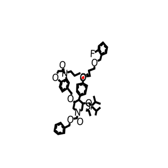 COCCCN1C(=O)COc2ccc(COC3CN(C(=O)OCc4ccccc4)CC(O[Si](C(C)C)(C(C)C)C(C)C)C3c3ccc(OCCCOCc4ccccc4F)cc3)cc21